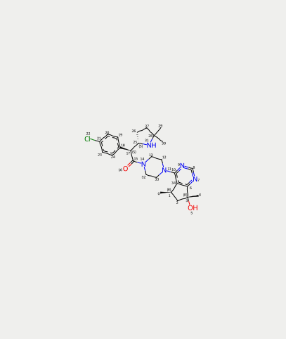 C[C@@H]1C[C@@](C)(O)c2ncnc(N3CCN(C(=O)[C@@H](c4ccc(Cl)cc4)[C@@H]4CCC(C)(C)N4)CC3)c21